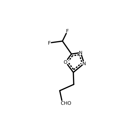 O=CCCc1nnc(C(F)F)o1